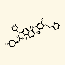 N#Cc1cnc2c(NC(=O)C=C3CCNCC3)c(OC3CCOC3)ccc2c1Nc1ccc(OCc2ccccn2)c(Cl)c1